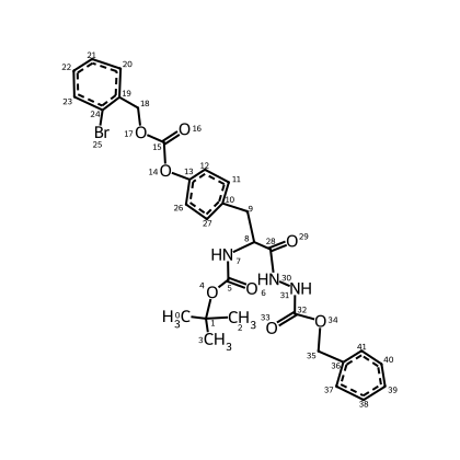 CC(C)(C)OC(=O)NC(Cc1ccc(OC(=O)OCc2ccccc2Br)cc1)C(=O)NNC(=O)OCc1ccccc1